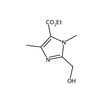 CCOC(=O)c1c(C)nc(CO)n1C